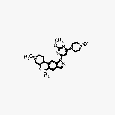 COc1nc(N2CC[S+]([O-])CC2)cc(-n2ncc3cc(C)c(C4CCN(C)CC4F)cc32)n1